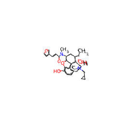 CCC1CC(N(C)C(=O)/C=C/c2ccoc2)C2Oc3c(O)ccc4c3[C@@]23CCN(CC2CC2)[C@H](C4)[C@]13O